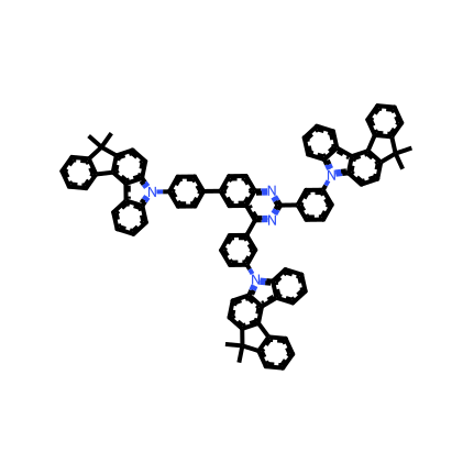 CC1(C)c2ccccc2-c2c1ccc1c2c2ccccc2n1-c1ccc(-c2ccc3nc(-c4cccc(-n5c6ccccc6c6c7c(ccc65)C(C)(C)c5ccccc5-7)c4)nc(-c4cccc(-n5c6ccccc6c6c7c(ccc65)C(C)(C)c5ccccc5-7)c4)c3c2)cc1